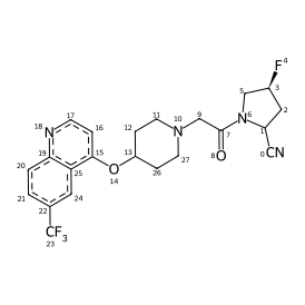 N#CC1C[C@H](F)CN1C(=O)CN1CCC(Oc2ccnc3ccc(C(F)(F)F)cc23)CC1